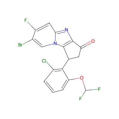 O=C1CC(c2c(Cl)cccc2OC(F)F)c2c1nc1cc(F)c(Br)cn21